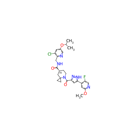 COc1cc(-c2cc(C(=O)N3CC[C@H](C(=O)NCc4ncc(OC(C)C)cc4Cl)CC34CC4)n[nH]2)c(F)cn1